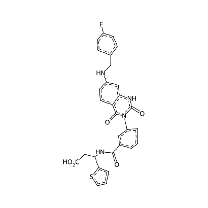 O=C(O)CC(NC(=O)c1cccc(-n2c(=O)[nH]c3cc(NCc4ccc(F)cc4)ccc3c2=O)c1)c1cccs1